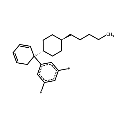 CCCCC[C@H]1CC[C@H](C2(c3cc(F)cc(F)c3)C=CC=CC2)CC1